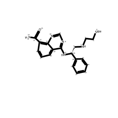 CSCCNC[C@@H](Nc1ncnc2c(C(N)=O)cccc12)c1ccccc1